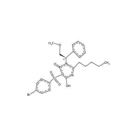 CCCCCc1nc(O)c(S(=O)(=O)c2ccc(Br)cc2)c(=O)n1[C@@H](COC)c1ccccc1